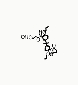 C=CCOc1ccc(C(C)(C)c2ccc(OCC=C)c(N3C(=O)CCC3=O)c2)cc1NC(=O)CCC=O